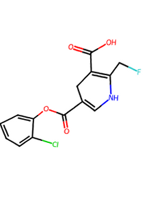 O=C(O)C1=C(CF)NC=C(C(=O)Oc2ccccc2Cl)C1